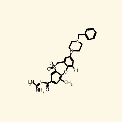 Cc1cc(C(=O)N=C(N)N)cc2c1Oc1c(Cl)cc(N3CCN(Cc4ccccc4)CC3)cc1CS2(=O)=O